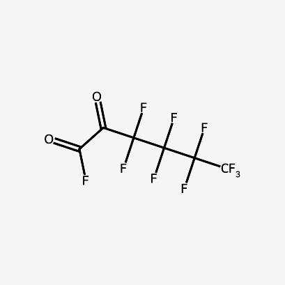 O=C(F)C(=O)C(F)(F)C(F)(F)C(F)(F)C(F)(F)F